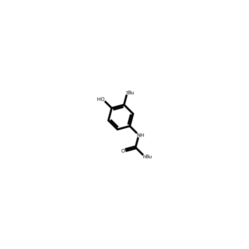 CCCCC(=O)Nc1ccc(O)c(C(C)(C)C)c1